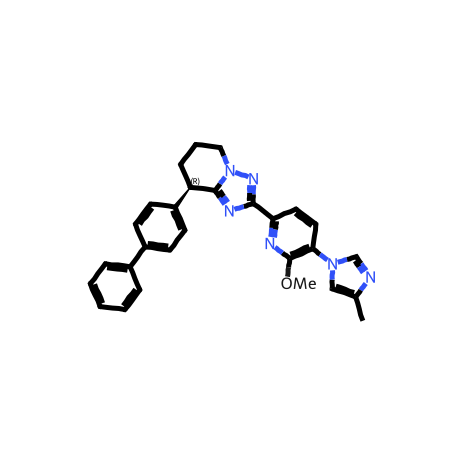 COc1nc(-c2nc3n(n2)CCC[C@@H]3c2ccc(-c3ccccc3)cc2)ccc1-n1cnc(C)c1